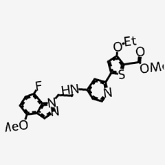 CCOc1cc(-c2cc(NCCn3ncc4c(OC)ccc(F)c43)ccn2)sc1C(=O)OC